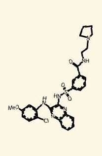 COc1ccc(Cl)c(Nc2nc3ccccc3nc2NS(=O)(=O)c2cccc(C(=O)NCCN3CCCC3)c2)c1